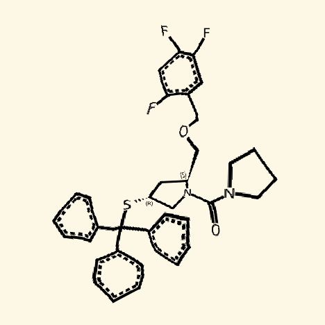 O=C(N1CCCC1)N1C[C@H](SC(c2ccccc2)(c2ccccc2)c2ccccc2)C[C@H]1COCc1cc(F)c(F)cc1F